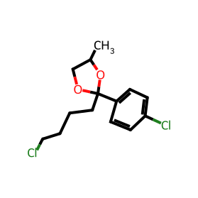 CC1COC(CCCCCl)(c2ccc(Cl)cc2)O1